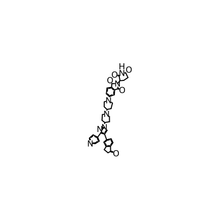 O=C1CCC(N2C(=O)c3ccc(N4CCC(N5CCC(n6cc(-c7ccc8c(c7)CCC8=O)c(-c7ccncc7)n6)CC5)CC4)cc3C2=O)C(=O)N1